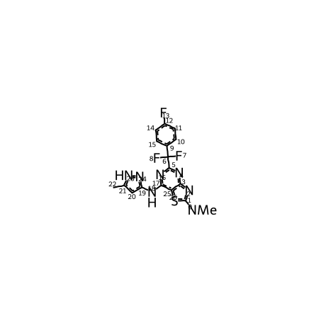 CNc1nc2nc(C(F)(F)c3ccc(F)cc3)nc(Nc3cc(C)[nH]n3)c2s1